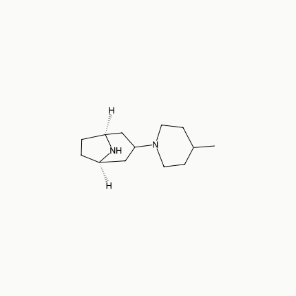 CC1CCN(C2C[C@H]3CC[C@@H](C2)N3)CC1